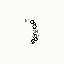 Cc1ccc2c3c(ccc2n1)OC[C@H](CNC[C@@H]1CCc2sc4ccc(C#N)cc4c2C1)O3